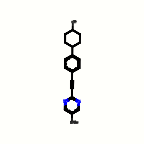 CCCC1CCC(c2ccc(C#Cc3ncc(OC)cn3)cc2)CC1